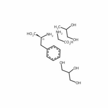 CC(O)CO.NCC(=O)O.N[C@@H](Cc1ccccc1)C(=O)O.OCC(O)CO